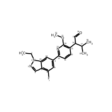 CCn1ncc2c(F)cc(-c3ccc(C(C=O)C(C)C)c(OC)n3)cc21